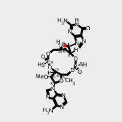 CO[C@H]1[C@H](n2cnc3c(N)ncnc32)O[C@]2(C)CO[P@@](=O)(S)O[C@@H]3[C@H](F)[C@@H](CO[P@](=O)(S)O[C@@H]12)O[C@H]3n1cnc2c(=O)[nH]c(N)nc21